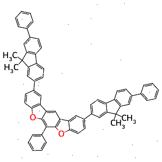 CC1(C)c2cc(-c3ccccc3)ccc2-c2ccc(-c3ccc4oc5c(-c6ccccc6)c6oc7ccc(-c8ccc9c(c8)C(C)(C)c8cc(-c%10ccccc%10)ccc8-9)cc7c6cc5c4c3)cc21